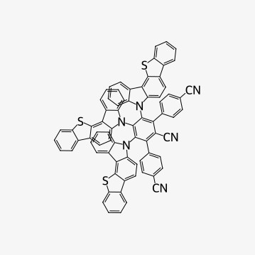 N#Cc1ccc(-c2c(C#N)c(-c3ccc(C#N)cc3)c(-n3c4ccccc4c4c5sc6ccccc6c5ccc43)c(-n3c4ccccc4c4c5sc6ccccc6c5ccc43)c2-n2c3ccccc3c3c4sc5ccccc5c4ccc32)cc1